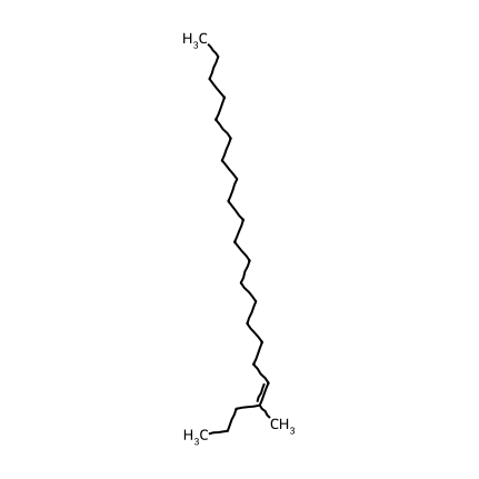 CCCCCCCCCCCCCCCCCC=C(C)CCC